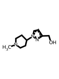 CN1CCC(n2c[c]c(CO)n2)CC1